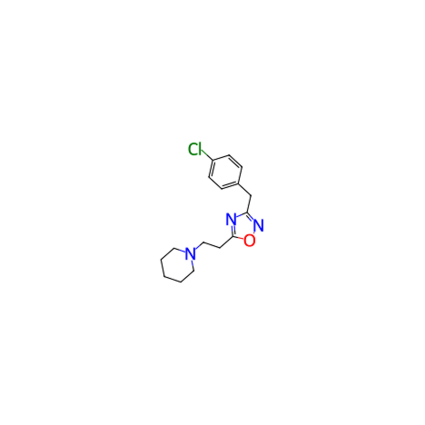 Clc1ccc(Cc2noc(CCN3CCCCC3)n2)cc1